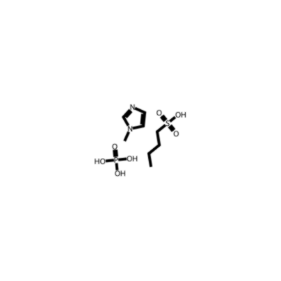 CCCCS(=O)(=O)O.Cn1ccnc1.O=P(O)(O)O